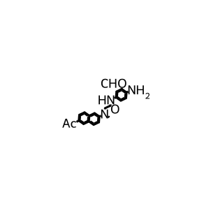 CC(=O)c1ccc2cc(N(C)CC(=O)Nc3ccc(N)c(C=O)c3)ccc2c1